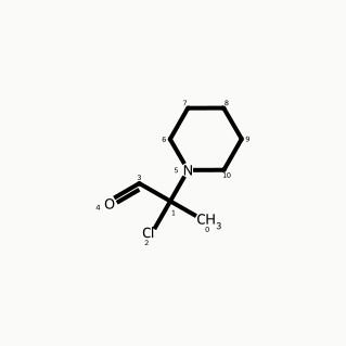 CC(Cl)(C=O)N1CCCCC1